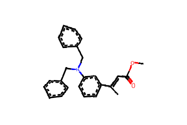 COC(=O)C=C(C)c1cccc(N(Cc2ccccc2)Cc2ccccc2)c1